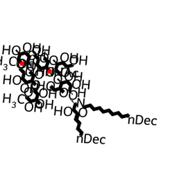 CCCCCCCCCCCCC/C=C/[C@@H](O)[C@H](CO[C@@H]1OC(CO)[C@@H](O[C@@H]2OC(CO)[C@H](O)[C@H](O[C@@H]3OC(CO)[C@@H](O[C@H]4OC(C)[C@@H](O)C(O)[C@@H]4O)[C@H](O[C@@H]4OC(CO)[C@H](O)[C@H](O)C4O[C@H]4OC(C)[C@@H](O)C(O)[C@@H]4O)C3NC(C)=O)C2O)[C@H](O)C1O)NC(=O)CCCCCCCCCCCCCCCCCCC